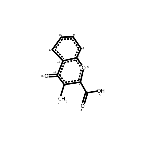 Cc1c(C(=O)O)oc2ccccc2c1=O